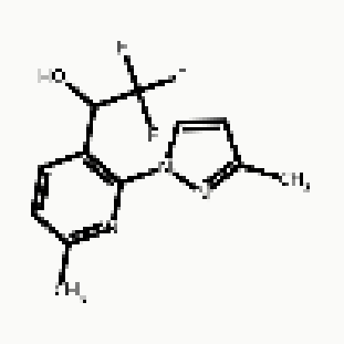 Cc1ccc(C(O)C(F)(F)F)c(-n2ccc(C)n2)n1